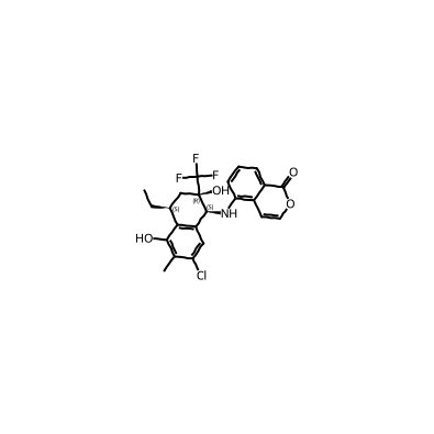 CC[C@H]1C[C@](O)(C(F)(F)F)[C@@H](Nc2cccc3c(=O)occc23)c2cc(Cl)c(C)c(O)c21